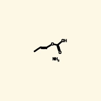 CC=COC(=O)O.N